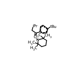 C[C](C)CC(ON1C(C)(C)CCCC1(C)C)c1ccc(C(C)(C)C)cc1